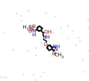 COc1n[nH]c2cc(OCCNCC(O)c3cccc(NS(C)(=O)=O)c3)ccc12